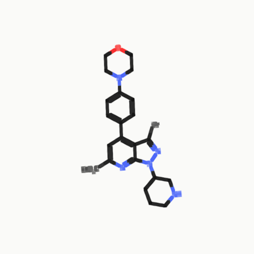 CCOC(=O)c1cc(-c2ccc(N3CCOCC3)cc2)c2c(C(C)C)nn(C3CCCNC3)c2n1